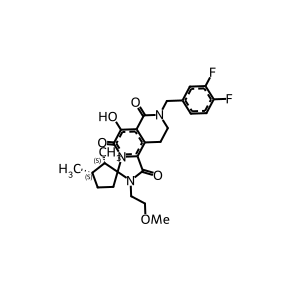 COCCN1C(=O)c2c3c(c(O)c(=O)n2C12CC[C@H](C)[C@@H]2C)C(=O)N(Cc1ccc(F)c(F)c1)CC3